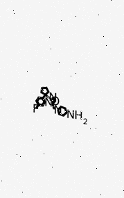 NC1CCN(Cc2nc(C3(c4ccc(F)cc4)CCCC3)no2)CC1